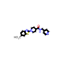 O=C(O)c1ccc2nc(N3CCC(C(=O)NCc4ccncc4)CC3)sc2c1